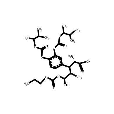 CCCOC(=O)OC(C)C(C)C(c1ccc(OC(=O)OC(C)C(C)C)c(OC(=O)OC(C)C(C)C)c1)[C@H](N)C(=O)O